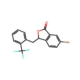 O=C1OC(Cc2ccccc2C(F)(F)F)c2ccc(Br)cc21